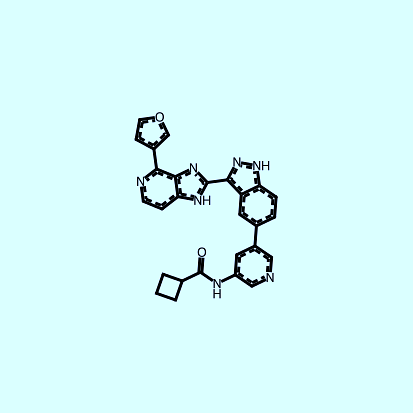 O=C(Nc1cncc(-c2ccc3[nH]nc(-c4nc5c(-c6ccoc6)nccc5[nH]4)c3c2)c1)C1CCC1